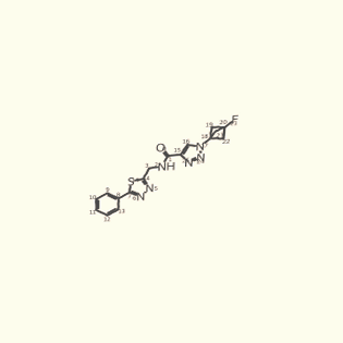 O=C(NCc1nnc(-c2ccccc2)s1)c1cn(C23CC(F)(C2)C3)nn1